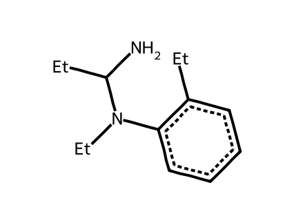 CCc1ccccc1N(CC)C(N)CC